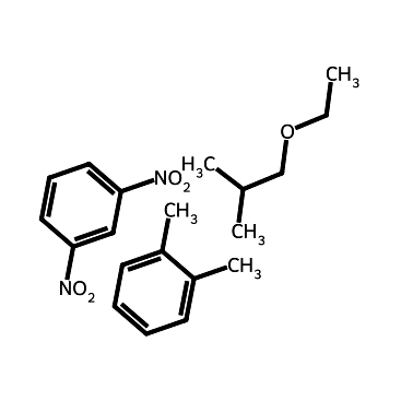 CCOCC(C)C.Cc1ccccc1C.O=[N+]([O-])c1cccc([N+](=O)[O-])c1